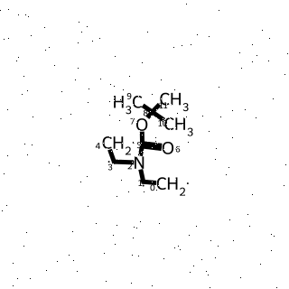 [CH2][CH]N([CH][CH2])C(=O)OC(C)(C)C